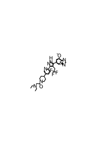 CCN(CC)CC(=O)N1CCC(c2ccc(-c3n[nH]c(-c4cc(OC)c5ncnn5c4)c3CC(F)(F)F)nc2)CC1